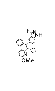 COc1cccc(/C(=C(\c2[c]cccc2)c2ccc3[nH]nc(F)c3c2)C2CCC2)n1